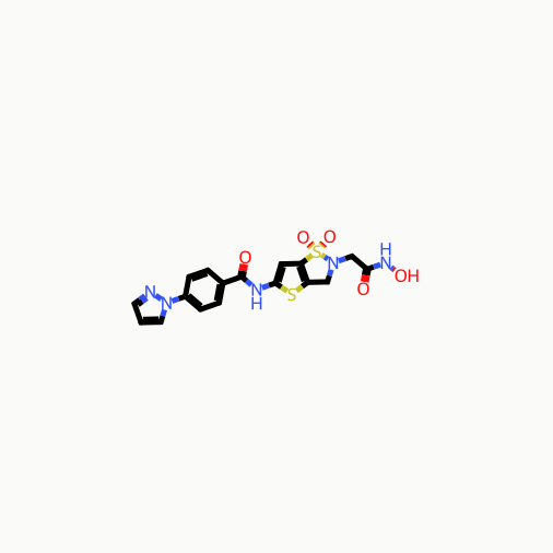 O=C(CN1Cc2sc(NC(=O)c3ccc(-n4cccn4)cc3)cc2S1(=O)=O)NO